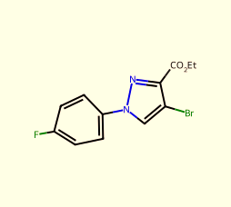 CCOC(=O)c1nn(-c2ccc(F)cc2)cc1Br